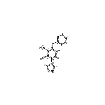 Nn1c(Cc2ccccc2)nnc(-c2cccs2)c1=O